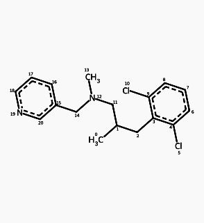 CC(Cc1c(Cl)cccc1Cl)CN(C)Cc1cccnc1